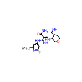 COc1cc(NC(=N)/C(=C\NC2COCC[C@@H]2C=N)C(N)=O)cc(F)n1